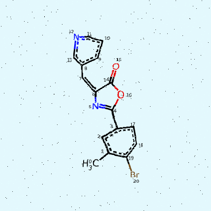 Cc1cc(C2=N/C(=C/c3cccnc3)C(=O)O2)ccc1Br